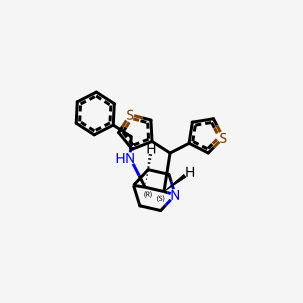 c1ccc(CN[C@@H]2C3CCN(CC3)[C@H]2C(c2ccsc2)c2ccsc2)cc1